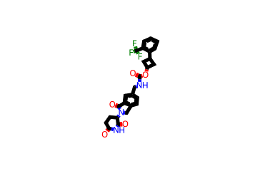 O=C1CCC(N2Cc3ccc(CNC(=O)OC4CC(c5ccccc5C(F)(F)F)C4)cc3C2=O)C(=O)N1